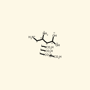 CC(=O)O.CC(=O)O.CC(=O)O.CC(=O)O.NCC(N)CC(O)O